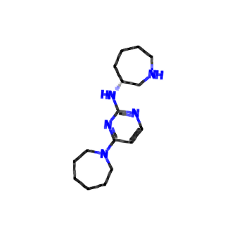 c1cc(N2CCCCCC2)nc(N[C@@H]2CCCCNC2)n1